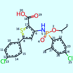 CCOP(=O)(Nc1cc(-c2ccc(Cl)cc2)sc1C(=O)O)c1ccc(Cl)cc1C